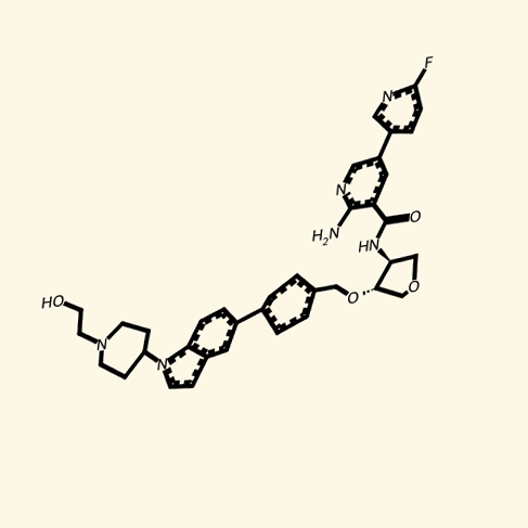 Nc1ncc(-c2ccc(F)nc2)cc1C(=O)N[C@H]1COC[C@@H]1OCc1ccc(-c2ccc3c(ccn3C3CCN(CCO)CC3)c2)cc1